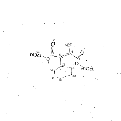 CCCCCCCCOC(=O)C(CC)=C(C(=O)OCCCCCCCC)C1CCCCC1